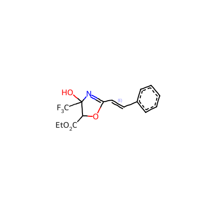 CCOC(=O)C1OC(/C=C/c2ccccc2)=NC1(O)C(F)(F)F